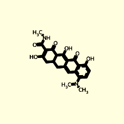 CNC(=O)C1=C(O)CC2CC3=Cc4c(N(C)C)ccc(O)c4C(=O)C3=C(O)C2C1=O